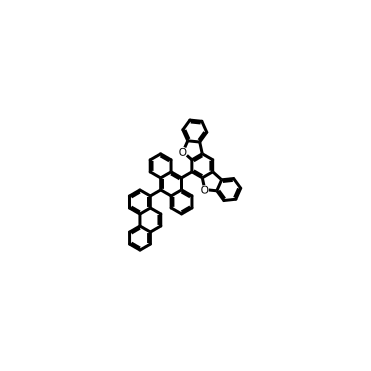 c1ccc2c(c1)ccc1c(-c3c4ccccc4c(-c4c5oc6ccccc6c5cc5c4oc4ccccc45)c4ccccc34)cccc12